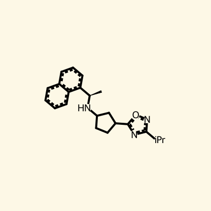 CC(C)c1noc(C2CCC(N[C@H](C)c3cccc4ccccc34)C2)n1